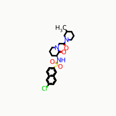 CC1CCCN(C(=O)CN2CCC[C@H](NS(=O)(=O)c3ccc4cc(Cl)ccc4c3)C2=O)C1